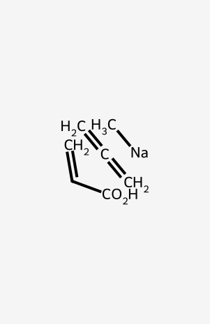 C=C=C.C=CC(=O)O.[CH3][Na]